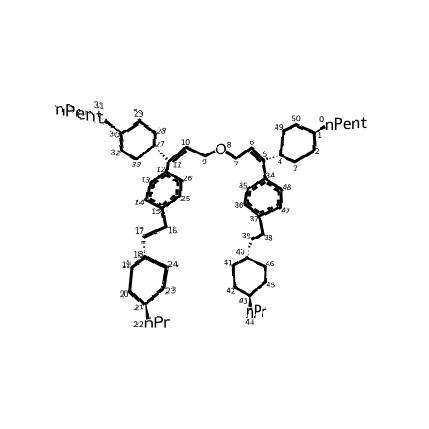 CCCCC[C@H]1CC[C@H](C(=CCOCC=C(c2ccc(CC[C@H]3CC[C@H](CCC)CC3)cc2)[C@H]2CC[C@H](CCCCC)CC2)c2ccc(CC[C@H]3CC[C@H](CCC)CC3)cc2)CC1